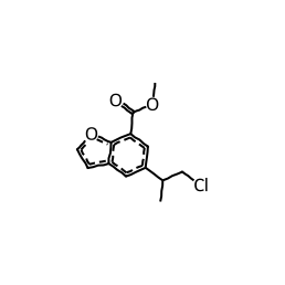 COC(=O)c1cc(C(C)CCl)cc2ccoc12